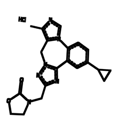 Cc1ncn2c1Cn1nc(CN3CCOC3=O)nc1-c1cc(C3CC3)ccc1-2.Cl